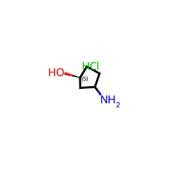 Cl.NC1CC[C@H](O)C1